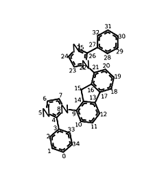 c1ccc(-c2nccn2-c2cccc3c2Cc2c-3cccc2-n2ccnc2-c2ccccc2)cc1